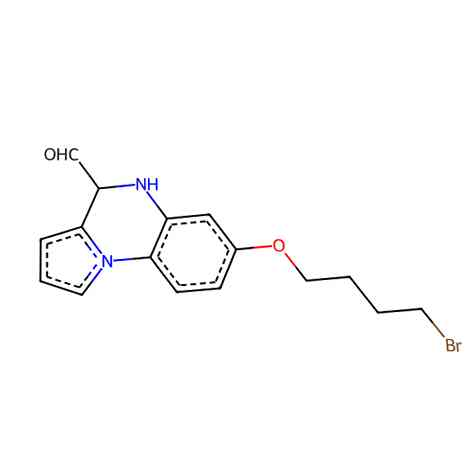 O=CC1Nc2cc(OCCCCBr)ccc2-n2cccc21